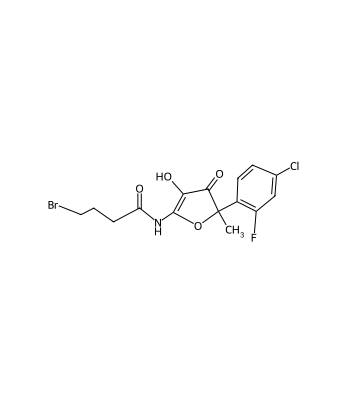 CC1(c2ccc(Cl)cc2F)OC(NC(=O)CCCBr)=C(O)C1=O